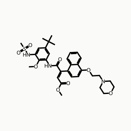 COC(=O)/C=C(/C(=O)Nc1cc(C(C)(C)C)cc(NS(C)(=O)=O)c1OC)c1ccc(OCCN2CCOCC2)c2ccccc12